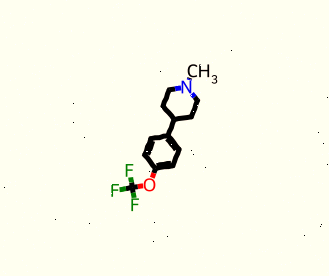 CN1CCC(c2ccc(OC(F)(F)F)cc2)CC1